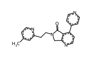 Cc1ccnc(CCN2Cc3nccc(-c4ccncc4)c3C2=O)c1